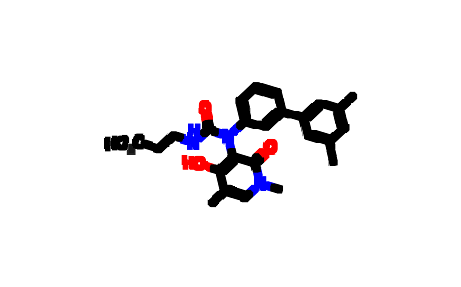 Cc1cc(C)cc(-c2cccc(N(C(=O)NCCC(=O)O)c3c(O)c(C)cn(C)c3=O)c2)c1